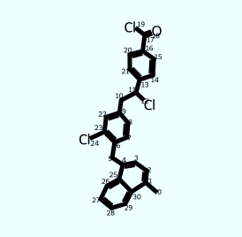 Cc1ccc(Cc2ccc(CC(Cl)c3ccc(C(=O)Cl)cc3)cc2Cl)c2ccccc12